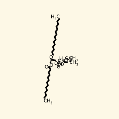 CCCCCCCCCCCCCCCCO[C@H](COC(=O)CCCCCCCCCCCCC)COP(=O)(O)OCC[N+](C)(C)C